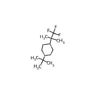 CC(C)(C)C1CCC(C(C)(C)C(F)(F)F)CC1